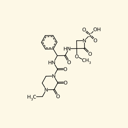 CCN1CCN(C(=O)NC(C(=O)NC2(OC)CN(S(=O)(=O)O)C2=O)c2ccccc2)C(=O)C1=O